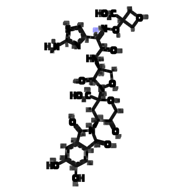 Nc1nc(/C(=N/OC2(C(=O)O)COC2)C(=O)N[C@H]2CON(C3(C(=O)O)C[C@H](N4C(=O)c5cc(O)c(O)cc5C4=O)C(=O)CO3)C2=O)cs1